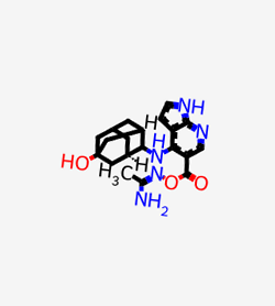 CC(N)=NOC(=O)c1cnc2[nH]ccc2c1NC1[C@@H]2CC3C[C@H]1CC(O)(C3)C2